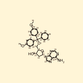 COc1ccc(C(OC[C@H]2O[C@H](n3cnc4c(N)ncnc43)C[C@H]2O)(c2ccccc2)c2ccc(OC)cc2)cc1